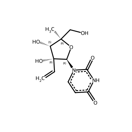 C=C[C@]1(O)[C@H](n2ccc(=O)[nH]c2=O)O[C@](C)(CO)[C@H]1O